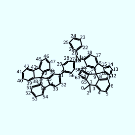 CC1(C)c2ccccc2C2(c3ccccc3-c3ccc(N(c4ccccc4)c4ccc(-c5ccc6c(c5)C5(c7ccccc7-c7ccccc75)c5ccccc5-6)cc4)cc32)c2ccccc21